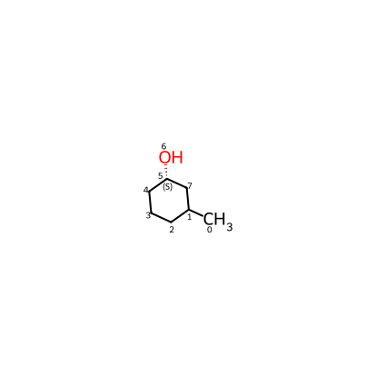 CC1CCC[C@H](O)C1